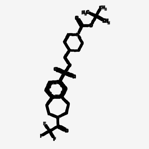 CC(C)(C)OC(=O)N1CCC(CCS(=O)(=O)c2ccc3c(c2)CCN(C(=O)C(F)(F)F)CC3)CC1